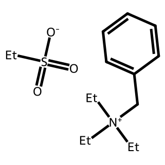 CCS(=O)(=O)[O-].CC[N+](CC)(CC)Cc1ccccc1